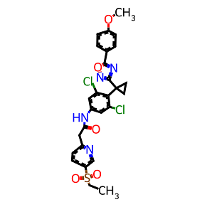 CCS(=O)(=O)c1ccc(CC(=O)Nc2cc(Cl)c(C3(c4noc(-c5ccc(OC)cc5)n4)CC3)c(Cl)c2)nc1